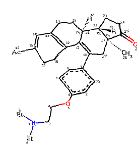 CCN(CC)CCOc1ccc(C2=C3C4=C(C=C(C(C)=O)CC4)CC[C@H]3[C@@H]3CCC(=O)[C@@]3(C)C2)cc1